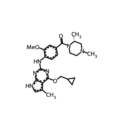 COc1cc(C(=O)N2CCN(C)C[C@H]2C)ccc1Nc1nc(OCC2CC2)c2c(C)c[nH]c2n1